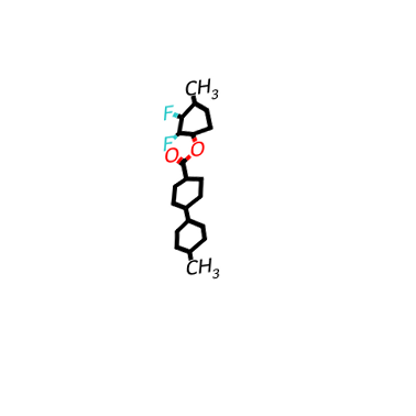 CC1CCC(C2CCC(C(=O)OC3CCC(C)C(F)C3F)CC2)CC1